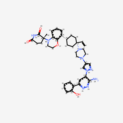 C=C[C@]1(N2CCN(c3cnn(-c4cc(-c5ccccc5O)nnc4N)c3)CC2)CC[C@@H](c2cccc3c2OCCN3[C@]2(C)CCC(=O)NC2=O)CC1